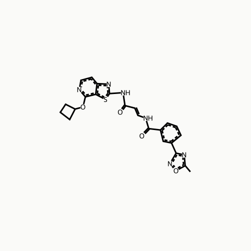 Cc1nc(-c2cccc(C(=O)NC=CC(=O)Nc3nc4ccnc(OC5CCC5)c4s3)c2)no1